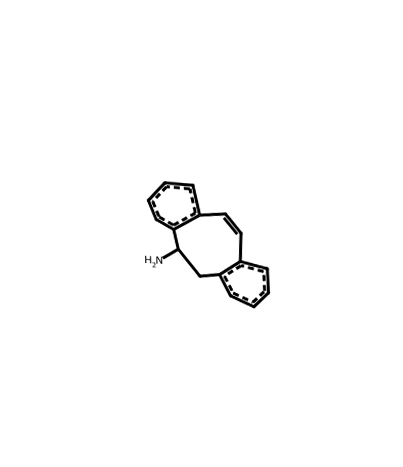 NC1Cc2ccccc2/C=C\c2ccccc21